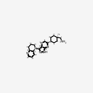 C[C@]1(CN)CC[C@@H](c2cnc3c(N4CCCc5ncccc54)n[nH]c3n2)CC1